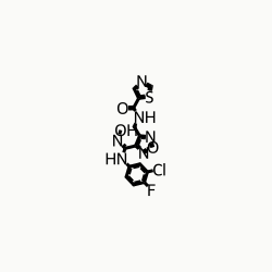 O=C(NCc1nonc1/C(=N\O)Nc1ccc(F)c(Cl)c1)c1cncs1